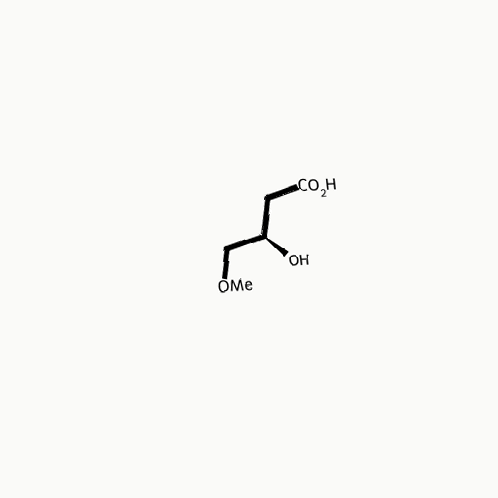 COC[C@H](O)CC(=O)O